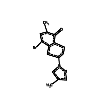 Cc1cnn(-c2ccc3c(=O)n(C)cc(Br)c3c2)c1